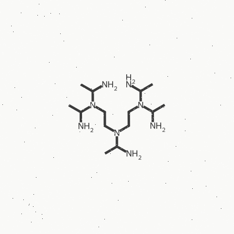 CC(N)N(CCN(C(C)N)C(C)N)CCN(C(C)N)C(C)N